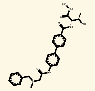 C[C@@H](O)[C@H](NC(=O)c1ccc(-c2ccc(NC(=O)CN(C)Cc3ccccc3)cc2)cc1)C(=O)NO